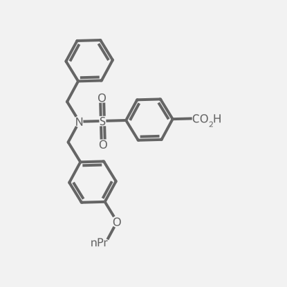 CCCOc1ccc(CN(Cc2ccccc2)S(=O)(=O)c2ccc(C(=O)O)cc2)cc1